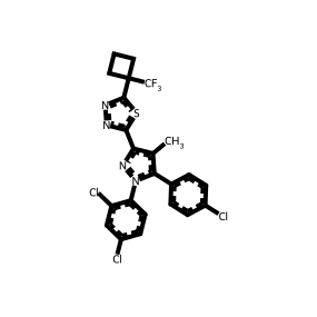 Cc1c(-c2nnc(C3(C(F)(F)F)CCC3)s2)nn(-c2ccc(Cl)cc2Cl)c1-c1ccc(Cl)cc1